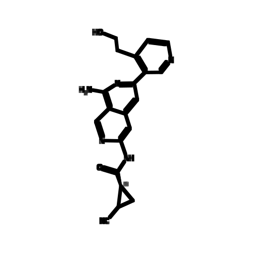 N#CC1C[C@@H]1C(=O)Nc1cc2cc(-c3cnccc3CCO)nc(N)c2cn1